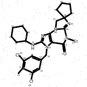 CCN1C(=O)c2c(nc(NC3CCCCC3)n2Cc2cc(Cl)c(C)c(Cl)c2)N2CC3(CCCC3)N=C12